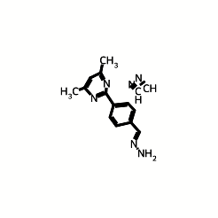 C#N.C#N.Cc1cc(C)nc(-c2ccc(C=NN)cc2)n1